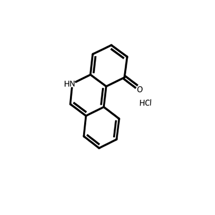 Cl.O=c1cccc2[nH]cc3ccccc3c1-2